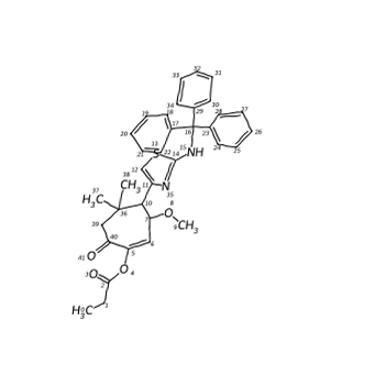 CCC(=O)OC1=CC(OC)C(c2csc(NC(c3ccccc3)(c3ccccc3)c3ccccc3)n2)C(C)(C)CC1=O